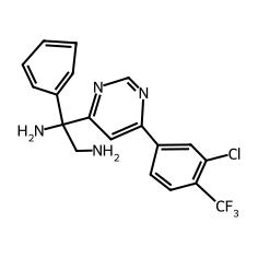 NCC(N)(c1ccccc1)c1cc(-c2ccc(C(F)(F)F)c(Cl)c2)ncn1